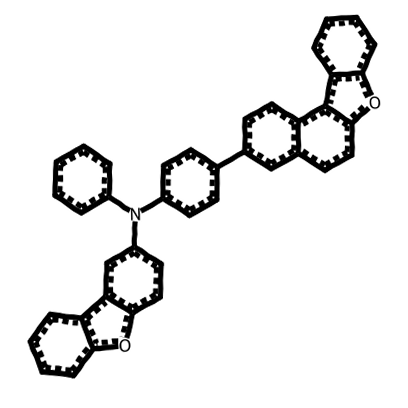 c1ccc(N(c2ccc(-c3ccc4c(ccc5oc6ccccc6c54)c3)cc2)c2ccc3oc4ccccc4c3c2)cc1